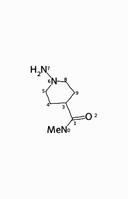 CNC(=O)C1CCN(N)CC1